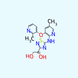 Cc1cnc(Nc2nc([C@H](O)CO)ns2)c(Oc2cccnc2C)c1